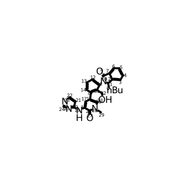 CCCCC1c2ccccc2C(=O)N1c1cccc(-c2cc(Nc3ccncn3)c(=O)n(C)c2)c1CO